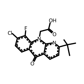 CC(C)(C)c1ccc2c(=O)c3ccc(Cl)c(F)c3n(CC(=O)O)c2n1